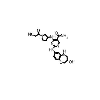 N#CCC(=O)N1CCC(Nc2nc(Nc3ccc4c(c3)NC[C@H](O)CO4)ncc2C(N)=O)C1